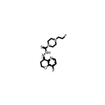 FCCN1CCN(C(=S)N/N=C2/CCOc3c(F)ccnc32)CC1